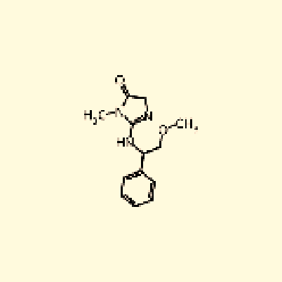 COCC(NC1=NCC(=O)N1C)c1ccccc1